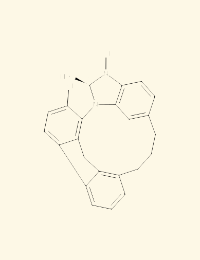 Cc1ccc2c3c1N1c4cc(ccc4N(C)[C@@H]1C)CCCc1cccc-2c1C3